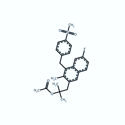 CC(=O)OC(C)(C)Cc1cc2ccc(F)cc2c(Cc2ccc(S(C)(=O)=O)cc2)c1C